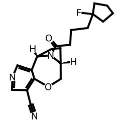 N#Cc1cncc2c1OC[C@H]1CC[C@@H]2N1C(=O)CCCC1(F)CCCC1